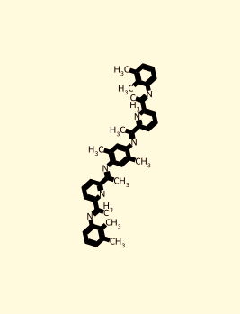 C/C(=N\c1cc(C)c(/N=C(\C)c2cccc(/C(C)=N/c3cccc(C)c3C)n2)cc1C)c1cccc(/C(C)=N/c2cccc(C)c2C)n1